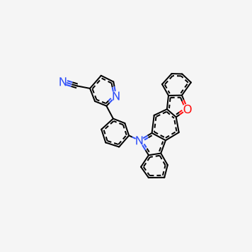 N#Cc1ccnc(-c2cccc(-n3c4ccccc4c4cc5oc6ccccc6c5cc43)c2)c1